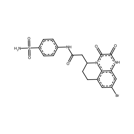 NS(=O)(=O)c1ccc(NC(=O)CC2CCc3cc(Br)cc4[nH]c(=O)c(=O)n2c34)cc1